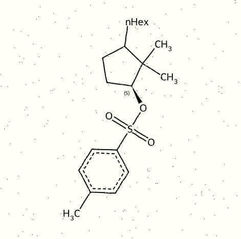 CCCCCCC1CC[C@H](OS(=O)(=O)c2ccc(C)cc2)C1(C)C